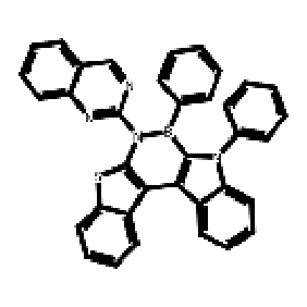 c1ccc(B2c3c(c4ccccc4n3-c3ccccc3)-c3c(sc4ccccc34)N2c2ncc3ccccc3n2)cc1